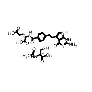 CC(=O)N[C@@H](CS)C(=O)O.Nc1nc(=O)c2c(CCc3ccc(C(=O)N[C@@H](CCC(=O)O)C(=O)O)cc3)c[nH]c2[nH]1